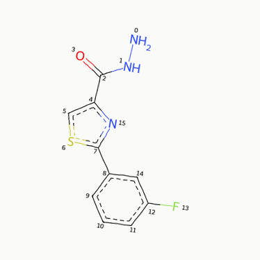 NNC(=O)c1csc(-c2cccc(F)c2)n1